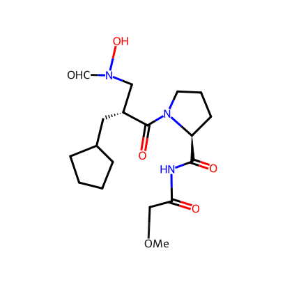 COCC(=O)NC(=O)[C@@H]1CCCN1C(=O)[C@H](CC1CCCC1)CN(O)C=O